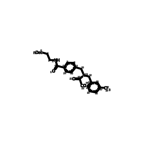 CCCCCCCCCCCCNC(=O)c1ccc(CN(Cc2cccc(C(F)(F)F)c2)C(=O)C(=O)O)cc1